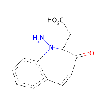 NN1c2ccccc2C=CC(=O)C1CC(=O)O